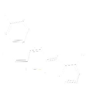 C\C=C/C(=C\C(=C\c1ccccc1Br)SC)c1ccc(Cl)cc1